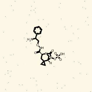 NC(CONC(=O)[C@@H]1CC2(CC2)[C@@H]2CN1C(=O)N2OS(=O)(=O)O)c1ccccc1